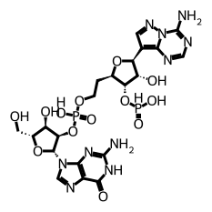 Nc1nc2c(ncn2[C@@H]2O[C@H](CO)[C@@H](O)[C@H]2OP(=O)(O)OCC[C@H]2O[C@@H](c3cnn4c(N)ncnc34)[C@H](O)[C@@H]2O[PH](=O)O)c(=O)[nH]1